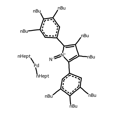 CCCCC1=C(c2cc(CCCC)c(CCCC)c(CCCC)c2)[N+](=[N-])C(c2cc(CCCC)c(CCCC)c(CCCC)c2)=C1CCCC.CCCCCC[CH2][Pd][CH2]CCCCCC